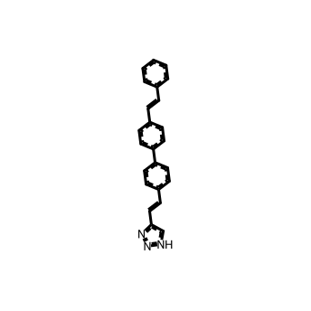 C(=Cc1ccc(-c2ccc(C=Cc3c[nH]nn3)cc2)cc1)c1ccccc1